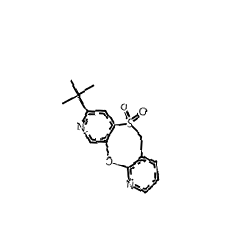 CC(C)(C)c1cc2c(cn1)Oc1ncccc1CS2(=O)=O